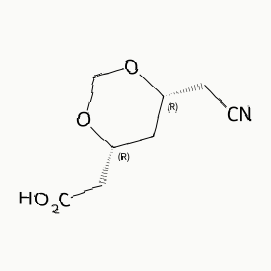 N#CC[C@@H]1C[C@H](CC(=O)O)OCO1